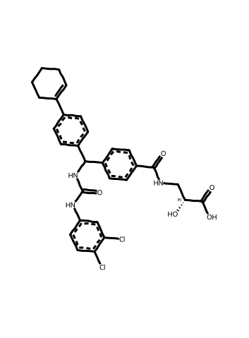 O=C(Nc1ccc(Cl)c(Cl)c1)NC(c1ccc(C(=O)NC[C@@H](O)C(=O)O)cc1)c1ccc(C2=CCCCC2)cc1